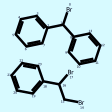 BrC(c1ccccc1)c1ccccc1.BrCC(Br)c1ccccc1